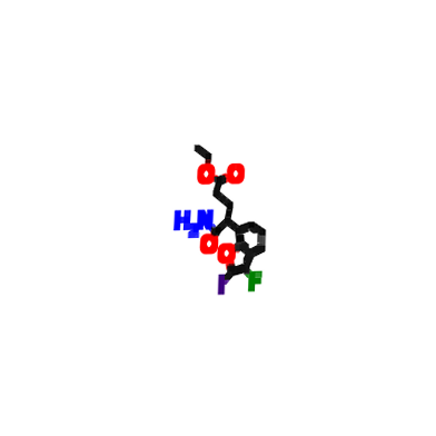 CCOC(=O)CCC(C(N)=O)c1cccc2c(F)c(I)oc12